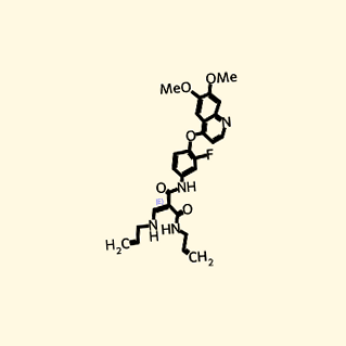 C=CCN/C=C(\C(=O)NCC=C)C(=O)Nc1ccc(Oc2ccnc3cc(OC)c(OC)cc23)c(F)c1